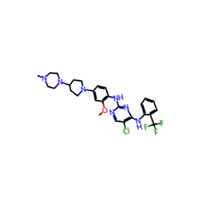 COc1cc(N2CCC(N3CCN(C)CC3)CC2)ccc1Nc1ncc(Cl)c(Nc2ccccc2C(F)(F)F)n1